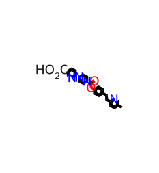 Cc1ccc(CCc2ccc(OC(=O)N3CCN(c4ccc(C(=O)O)cn4)CC3)cc2)nc1